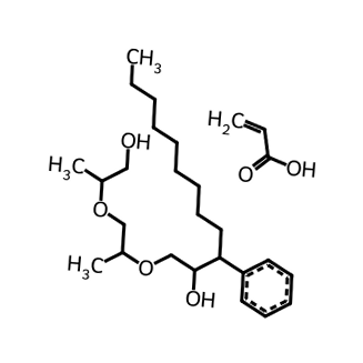 C=CC(=O)O.CCCCCCCCCC(c1ccccc1)C(O)COC(C)COC(C)CO